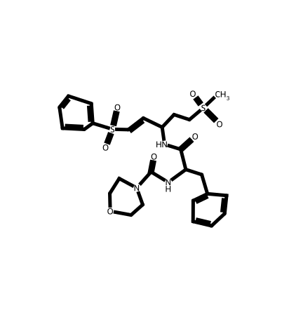 CS(=O)(=O)CCC(C=CS(=O)(=O)c1ccccc1)NC(=O)C(Cc1ccccc1)NC(=O)N1CCOCC1